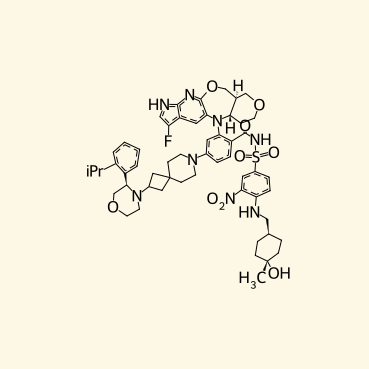 CC(C)c1ccccc1[C@@H]1COCCN1C1CC2(CCN(c3ccc(C(=O)NS(=O)(=O)c4ccc(NC[C@H]5CC[C@](C)(O)CC5)c([N+](=O)[O-])c4)c(N4c5cc6c(F)c[nH]c6nc5OC[C@H]5COCC[C@@H]54)c3)CC2)C1